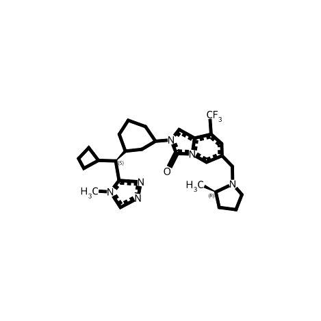 C[C@@H]1CCCN1Cc1cc(C(F)(F)F)c2cn(C3CCCC([C@@H](c4nncn4C)C4CCC4)C3)c(=O)n2c1